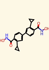 O=C(NO)c1ccc(-c2ccc(C(=O)NO)c(C3CC3)c2)cc1C1CC1